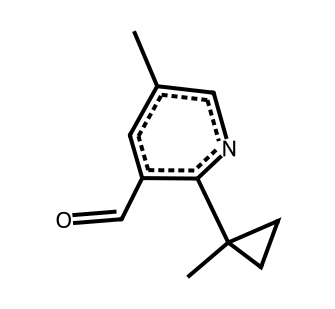 Cc1cnc(C2(C)CC2)c(C=O)c1